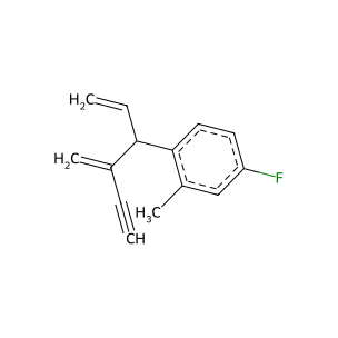 C#CC(=C)C(C=C)c1ccc(F)cc1C